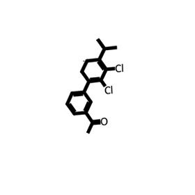 CC(=O)c1cccc(C2=C(Cl)C(Cl)=C(C(C)C)[CH]C2)c1